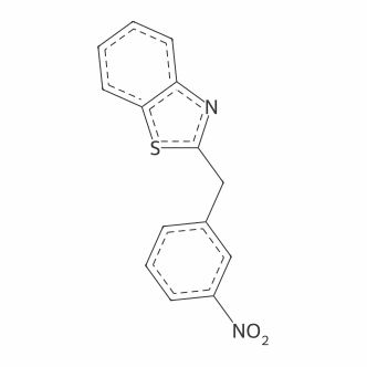 O=[N+]([O-])c1cccc(Cc2nc3ccccc3s2)c1